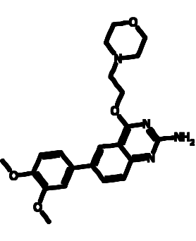 COc1ccc(-c2ccc3nc(N)nc(OCCN4CCOCC4)c3c2)cc1OC